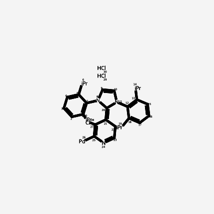 CC(C)c1cccc(C(C)C)c1N1C=CN(c2c(C(C)C)cccc2C(C)C)C1=C1CC=N[C]([Pd])=C1Cl.Cl.Cl